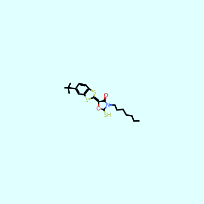 CCCCCCCN1C(=O)/C(=C2\Sc3ccc(C(C)(C)C)cc3S2)OC1S